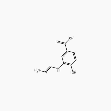 NN=CNc1cc(C(=O)O)ccc1O